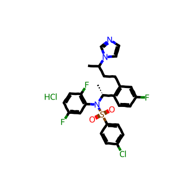 CC(CCc1cc(F)ccc1[C@@H](C)N(c1cc(F)ccc1F)S(=O)(=O)c1ccc(Cl)cc1)n1ccnc1.Cl